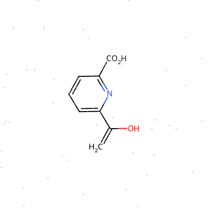 C=C(O)c1cccc(C(=O)O)n1